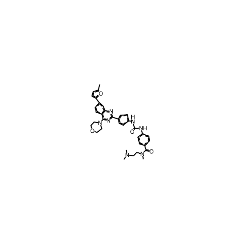 Cc1ccc(-c2ccc3c(N4CCOCC4)nc(-c4ccc(NC(=O)Nc5ccc(C(=O)N(C)CCN(C)C)cc5)cc4)nc3c2)o1